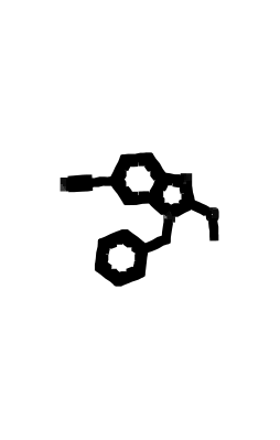 COc1nc2ccc(C#N)cc2n1Cc1ccccc1